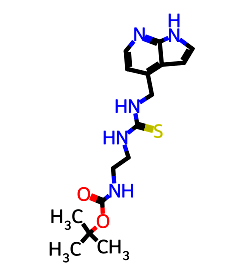 CC(C)(C)OC(=O)NCCNC(=S)NCc1ccnc2[nH]ccc12